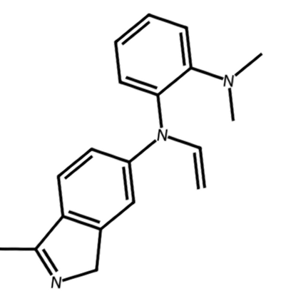 C=CN(c1ccc2c(c1)CN=C2C)c1ccccc1N(C)C